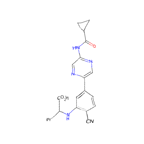 CC(C)C(Nc1cc(-c2cnc(NC(=O)C3CC3)cn2)ccc1C#N)C(=O)O